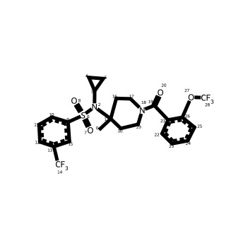 CC1(N(C2CC2)S(=O)(=O)c2cccc(C(F)(F)F)c2)CCN(C(=O)c2ccccc2OC(F)(F)F)CC1